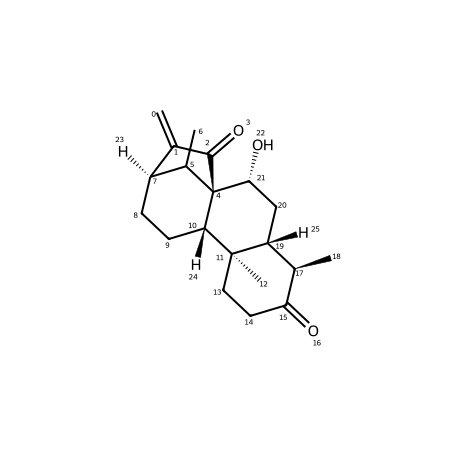 C=C1C(=O)[C@]23C(C)[C@H]1CC[C@H]2[C@]1(C)CCC(=O)[C@H](C)[C@H]1C[C@H]3O